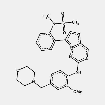 COc1cc(CN2CCOCC2)ccc1Nc1ncc2ccc(-c3ccccc3N(C)S(C)(=O)=O)n2n1